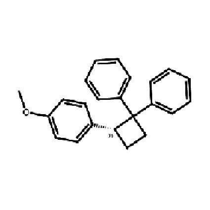 COc1ccc([C@H]2[CH]CC2(c2ccccc2)c2ccccc2)cc1